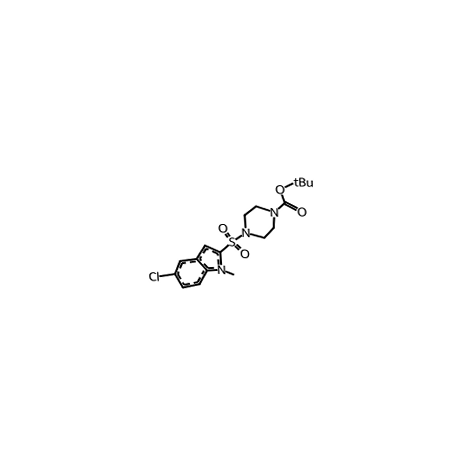 Cn1c(S(=O)(=O)N2CCN(C(=O)OC(C)(C)C)CC2)cc2cc(Cl)ccc21